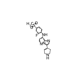 CS(=O)(=O)c1ccc(Nc2ccnn3c(C4=CCNCC4)cnc23)c(F)c1